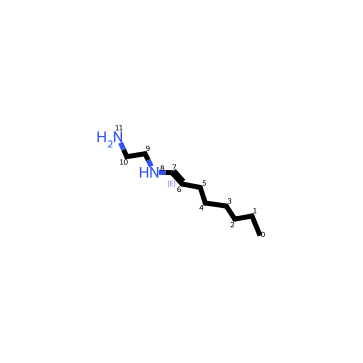 CCCCCC/C=C/NCCN